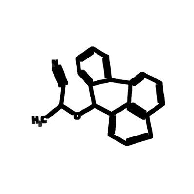 CC(C#N)OC(c1ccccc1)c1ccccc1-c1ccccc1